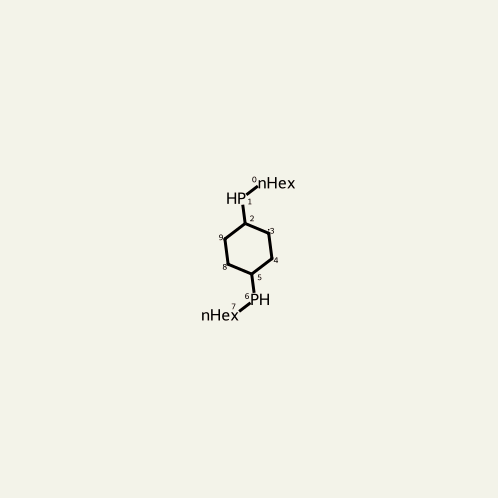 CCCCCCPC1[CH]CC(PCCCCCC)CC1